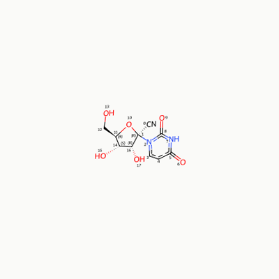 N#C[C@@]1(n2ccc(=O)[nH]c2=O)O[C@H](CO)[C@@H](O)[C@H]1O